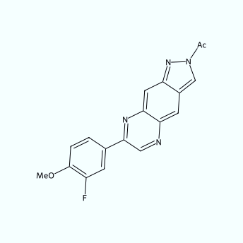 COc1ccc(-c2cnc3cc4cn(C(C)=O)nc4cc3n2)cc1F